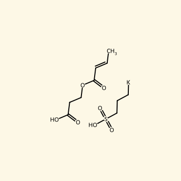 CC=CC(=O)OCCC(=O)O.O=S(=O)(O)CC[CH2][K]